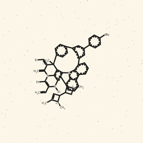 C=CC1=C(CC)N2C(=C)/C(=C\CC)C3(C)c4ccc(cc4)-c4cc(-c5ccc(C(C)(C)C)cc5)cc(c4)-c4cccc5c6ccccc6n(c45)-c4cc(C5C(C6C=C(C)[C@@H]6C)C[C@@H]5C)c(c2c43)B1CC